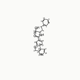 O=C(NC(CCc1ccccc1)C(=O)O)c1ccc2c(c1)OCc1cnccc1-2